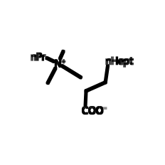 CCCCCCCCCC(=O)[O-].CCC[N+](C)(C)C